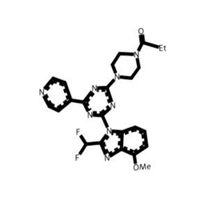 CCC(=O)N1CCN(c2nc(-c3ccncc3)nc(-n3c(C(F)F)nc4c(OC)cccc43)n2)CC1